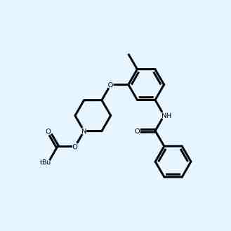 Cc1ccc(NC(=O)c2ccccc2)cc1OC1CCN(OC(=O)C(C)(C)C)CC1